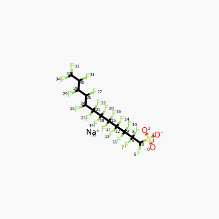 O=S(=O)([O-])C(F)C(F)(F)C(F)(F)C(F)(F)C(F)(F)C(F)(F)C(F)(F)C(F)C(F)C(F)C(F)C(F)F.[Na+]